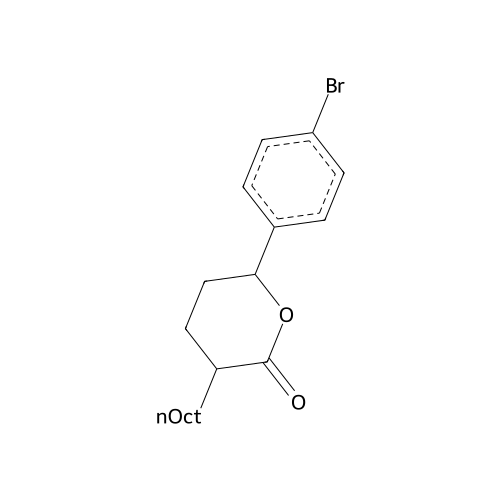 CCCCCCCCC1CCC(c2ccc(Br)cc2)OC1=O